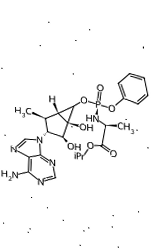 CC(C)OC(=O)[C@H](C)N[P@@](=O)(Oc1ccccc1)OC1[C@H]2[C@H](C)[C@@H](n3cnc4c(N)ncnc43)[C@H](O)[C@@]12O